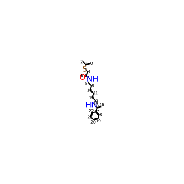 C=C(C)SCC(=O)NCCCCCCNC(=C)c1ccccc1